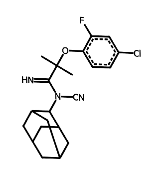 CC(C)(Oc1ccc(Cl)cc1F)C(=N)N(C#N)C1C2CC3CC(C2)CC1C3